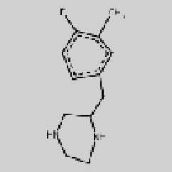 Cc1cc(CC2CNCCN2)ccc1F